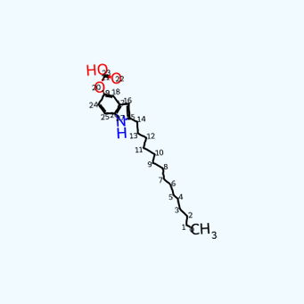 CCCCCCCCCCCCCCCc1cc2cc(OC(=O)O)ccc2[nH]1